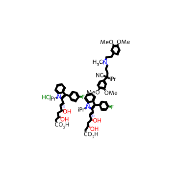 CC(C)n1c(/C=C/[C@@H](O)C[C@@H](O)CC(=O)O)c(-c2ccc(F)cc2)c2ccccc21.CC(C)n1c(/C=C/[C@@H](O)C[C@@H](O)CC(=O)O)c(-c2ccc(F)cc2)c2ccccc21.COc1ccc(CCN(C)CCCC(C#N)(c2ccc(OC)c(OC)c2)C(C)C)cc1OC.Cl